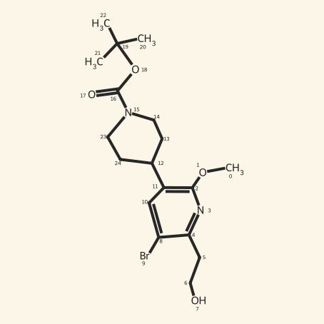 COc1nc(CCO)c(Br)cc1C1CCN(C(=O)OC(C)(C)C)CC1